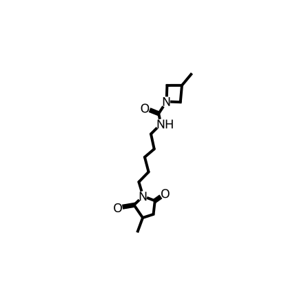 CC1CN(C(=O)NCCCCCN2C(=O)CC(C)C2=O)C1